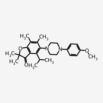 COc1ccc(N2CCN(c3c(C)c(C)c4c(c3C(C)C)C(=O)C(C)(C)O4)CC2)cc1